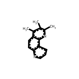 Cc1nc2c(ccc3ncccc32)c(C)c1C